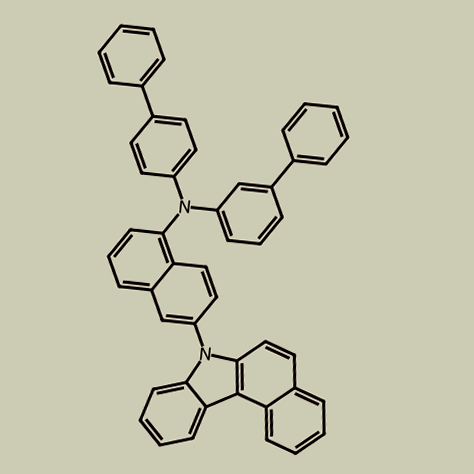 c1ccc(-c2ccc(N(c3cccc(-c4ccccc4)c3)c3cccc4cc(-n5c6ccccc6c6c7ccccc7ccc65)ccc34)cc2)cc1